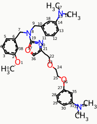 COc1cccc(CN(Cc2cccc(N(C)C)c2)c2nc(COCCOc3cccc(N(C)C)c3)co2)c1